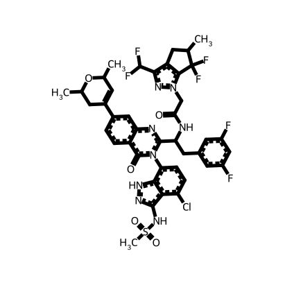 CC1C=C(c2ccc3c(=O)n(-c4ccc(Cl)c5c(NS(C)(=O)=O)n[nH]c45)c(C(Cc4cc(F)cc(F)c4)NC(=O)Cn4nc(C(F)F)c5c4C(F)(F)C(C)C5)nc3c2)CC(C)O1